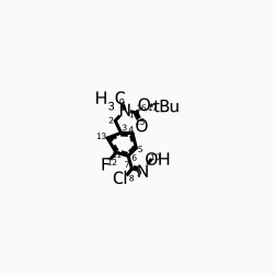 CN(Cc1ccc(/C(Cl)=N\O)c(F)c1)C(=O)OC(C)(C)C